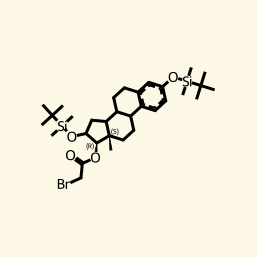 CC(C)(C)[Si](C)(C)Oc1ccc2c(c1)CCC1C2CC[C@@]2(C)C1CC(O[Si](C)(C)C(C)(C)C)[C@@H]2OC(=O)CBr